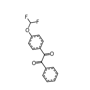 O=C(C(=O)c1ccc(OC(F)F)cc1)c1ccccc1